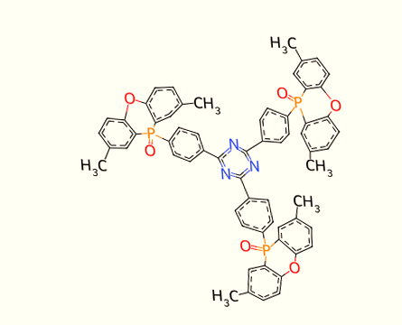 Cc1ccc2c(c1)P(=O)(c1ccc(-c3nc(-c4ccc(P5(=O)c6cc(C)ccc6Oc6ccc(C)cc65)cc4)nc(-c4ccc(P5(=O)c6cc(C)ccc6Oc6ccc(C)cc65)cc4)n3)cc1)c1cc(C)ccc1O2